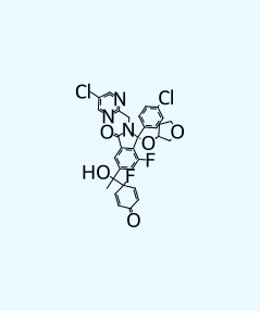 CC(O)(c1cc(F)c2c(c1)C(=O)N(Cc1ncc(Cl)cn1)[C@@]2(O[C@H]1CCOC1)c1ccc(Cl)cc1)C1(F)C=CC(=O)C=C1